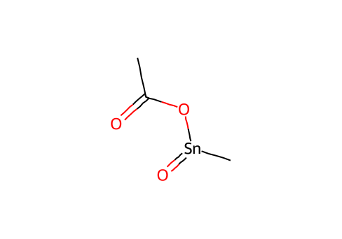 CC(=O)[O][Sn]([CH3])=[O]